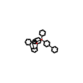 c1ccc(-c2ccc(N(c3ccccc3)c3ccc4c(c3)-c3cccc5c3-c3ccccc3-c3cccc-5c3-4)cc2)cc1